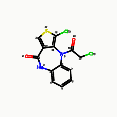 O=C1Nc2ccccc2N(C(=O)CCl)c2c1csc2Cl